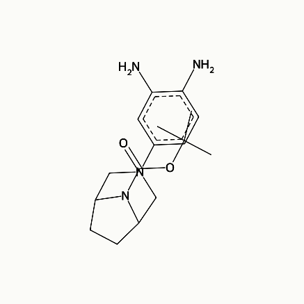 CC(C)(C)OC(=O)N1C2CCC1CN(c1ccc(N)c(N)c1)C2